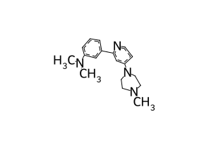 CN1CCN(c2ccnc(-c3cccc(N(C)C)c3)c2)CC1